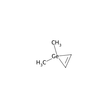 [CH3][Ge]1([CH3])[CH]=[CH]1